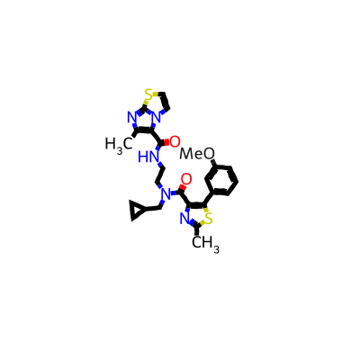 COc1cccc(-c2sc(C)nc2C(=O)N(CCNC(=O)c2c(C)nc3sccn23)CC2CC2)c1